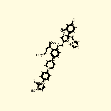 CCCCCCCCCCCCOS(=O)(=O)O.CC[C@H](C)n1ncn(-c2ccc(N3CCN(c4ccc(OC[C@H]5CO[C@](Cn6cncn6)(c6ccc(Cl)cc6Cl)O5)cc4)CC3)cc2)c1=O